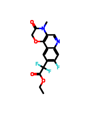 CCOC(=O)C(F)(F)c1cc2c3c(cnc2cc1F)N(C)C(=O)CO3